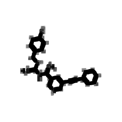 C=C(NC(=C)c1cncc(C#Cc2ccccc2)c1)SCc1ccc(Cl)cc1